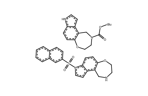 CC(C)(C)OC(=O)N1CCOc2ccc3[nH]ccc3c2C1.O=S(=O)(c1ccc2ccccc2c1)n1ccc2c3c(ccc21)OCCNC3